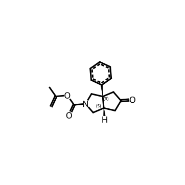 C=C(C)OC(=O)N1C[C@H]2CC(=O)C[C@@]2(c2ccccc2)C1